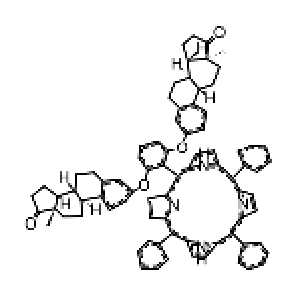 C[C@]12CC[C@@H]3c4ccc(Oc5cccc(Oc6ccc7c(c6)CC[C@@H]6[C@@H]7CC[C@]7(C)C(=O)CC[C@@H]67)c5-c5c6nc(c(-c7ccccc7)c7ccc([nH]7)c(-c7ccccc7)c7nc(c(-c8ccccc8)c8ccc5[nH]8)C=C7)C=C6)cc4CC[C@H]3[C@@H]1CCC2=O